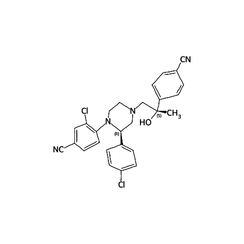 C[C@@](O)(CN1CCN(c2ccc(C#N)cc2Cl)[C@H](c2ccc(Cl)cc2)C1)c1ccc(C#N)cc1